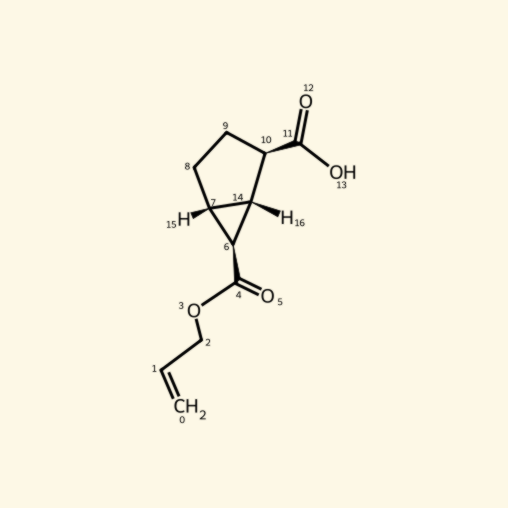 C=CCOC(=O)[C@H]1[C@@H]2CC[C@@H](C(=O)O)[C@@H]21